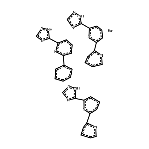 [Eu].c1ccc(-c2cccc(-c3ncn[nH]3)n2)nc1.c1ccc(-c2cccc(-c3ncn[nH]3)n2)nc1.c1ccc(-c2cccc(-c3ncn[nH]3)n2)nc1